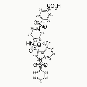 CC(C)c1cccc2c1c(S(=O)(=O)NC1CCN(S(=O)(=O)c3ccc(C(=O)O)cc3)CC1)cn2S(=O)(=O)c1ccccc1